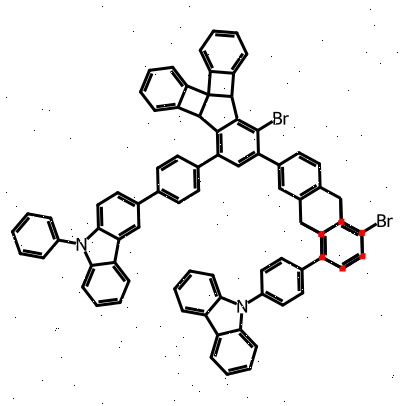 Brc1ccc(-c2ccc(-n3c4ccccc4c4ccccc43)cc2)c2c1C1c3ccccc3C2c2cc(-c3cc(-c4ccc(-c5ccc6c(c5)c5ccccc5n6-c5ccccc5)cc4)c4c(c3Br)C3c5ccccc5C35c3ccccc3C45)ccc21